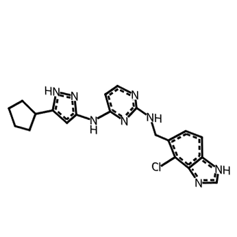 Clc1c(CNc2nccc(Nc3cc(C4CCCC4)[nH]n3)n2)ccc2[nH]cnc12